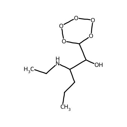 CCCC(NCC)C(O)C1OOOOO1